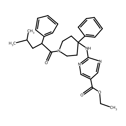 CCOC(=O)c1cnc(NC2(c3ccccc3)CCN(C(=O)C(CC(C)C)c3ccccc3)CC2)nc1